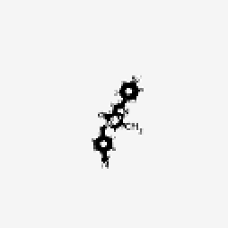 C[C@H]1CN(Cc2ccc(C#N)cc2)C(=O)c2cc(-c3ccc(Cl)cc3)nn21